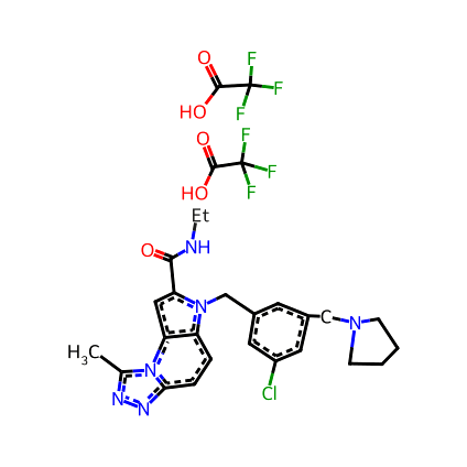 CCNC(=O)c1cc2c(ccc3nnc(C)n32)n1Cc1cc(Cl)cc(CN2CCCC2)c1.O=C(O)C(F)(F)F.O=C(O)C(F)(F)F